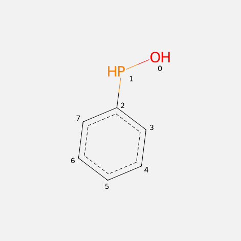 OPc1ccccc1